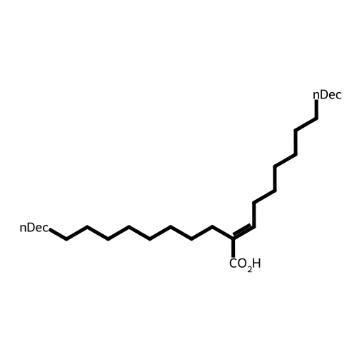 CCCCCCCCCCCCCCCCC=C(CCCCCCCCCCCCCCCCCC)C(=O)O